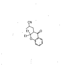 CCC1(CC)Oc2ccccc2C(=O)C1CC(C)C#N